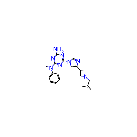 C[C](C)CN1CC(c2cn(-c3nc(N)nc(N(C)c4ccccc4)n3)cn2)C1